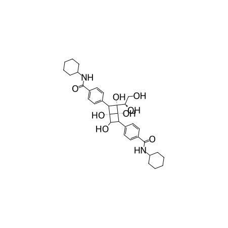 O=C(NC1CCCCC1)c1ccc(C2C(O)[C@@]3(O)C(c4ccc(C(=O)NC5CCCCC5)cc4)[C@@](O)([C@H](O)CO)[C@@]23O)cc1